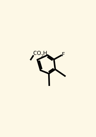 CC(=O)O.Cc1cccc(F)c1C